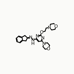 c1ccc2c(c1)CC(=NNc1cc(N3CCOCC3)nc(OCCN3CCOCC3)n1)C2